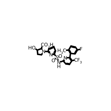 Cc1ccc(F)cc1-c1nc(NS(=O)(=O)c2cccc(N3CCC(O)C3C(=O)O)n2)ccc1C(F)(F)F